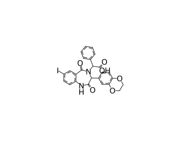 O=C(O)C(c1ccccc1)N1C(=O)c2cc(I)ccc2NC(=O)C1c1ccc2c(c1)OCCO2